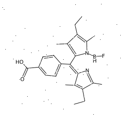 CCC1=C(C)/C(=C(\c2ccc(C(=O)O)cc2)c2c(C)c(CC)c(C)n2BF)N=C1C